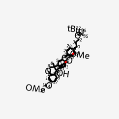 COCOc1ccc(C2(C)COc3cc(OCOC)ccc3C2(O)C#CCOc2ccc(CCCO[Si](C)(C)C(C)(C)C)cc2)cc1